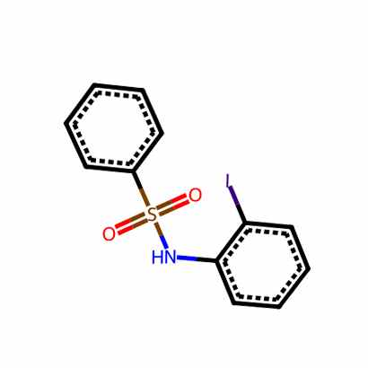 O=S(=O)(Nc1ccccc1I)c1ccccc1